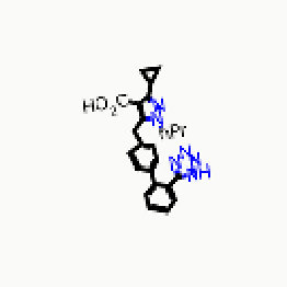 CCCn1nc(C2CC2)c(C(=O)O)c1Cc1ccc(-c2ccccc2-c2nnn[nH]2)cc1